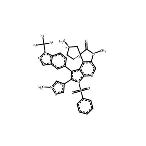 [2H]C([2H])([2H])n1ncc2cc(-c3c(-c4cnn(C)c4)n(S(=O)(=O)c4ccccc4)c4ncc5c(c34)[C@]3(CC[C@@H](N)C3)C(=O)N5C)ccc21